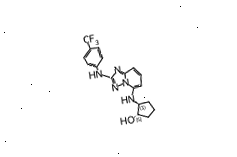 O[C@H]1CCC[C@@H]1Nc1cccc2nc(Nc3ccc(C(F)(F)F)cc3)nn12